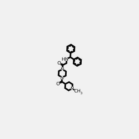 CN1CCC(C(=O)N2CCN(C(=O)CNC(c3ccccc3)c3ccccc3)CC2)CC1